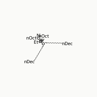 CCCCCCCCCCCCCCCCCCCCCCCC=Cc1cc(C=CCCCCCCCCCCCCCCCCCCCCCCC)cc(C2=CC(CC)=C(c3cc(CCCCCCCC)cc(CCCCCCCC)c3)[N+]2=[N-])c1.[Ni]